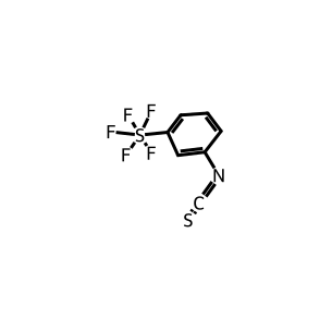 FS(F)(F)(F)(F)c1cccc(N=C=S)c1